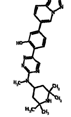 CN(c1ncc(-c2ccc(-c3ccc4cnnn4c3)cc2O)nn1)C1CC(C)(C)NC(C)(C)C1